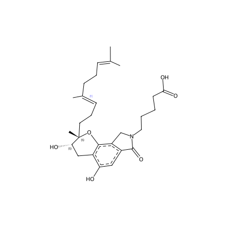 CC(C)=CCC/C(C)=C/CC[C@]1(C)Oc2c(c(O)cc3c2CN(CCCCC(=O)O)C3=O)C[C@@H]1O